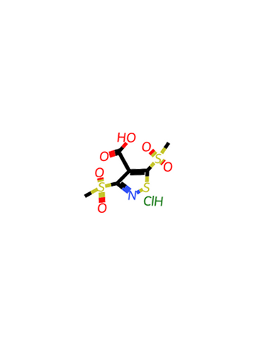 CS(=O)(=O)c1nsc(S(C)(=O)=O)c1C(=O)O.Cl